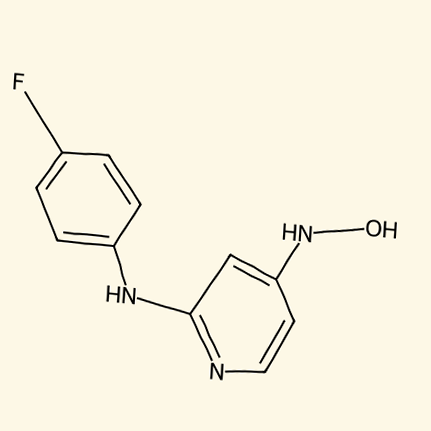 ONc1ccnc(Nc2ccc(F)cc2)c1